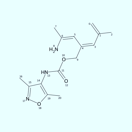 C=C(C)/C=C(\C=C(\C)N)COC(=O)Nc1c(C)noc1C